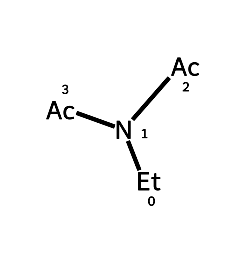 CCN(C(C)=O)C(C)=O